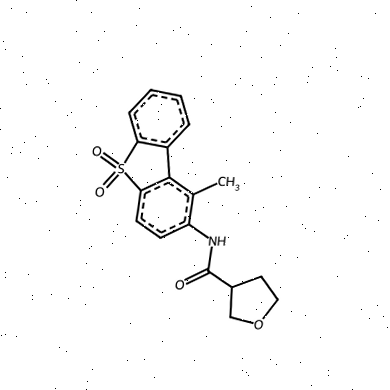 Cc1c(NC(=O)C2CCOC2)ccc2c1-c1ccccc1S2(=O)=O